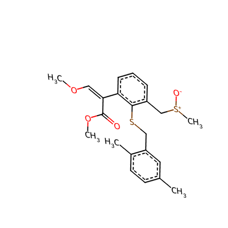 COC=C(C(=O)OC)c1cccc(C[S+](C)[O-])c1SCc1cc(C)ccc1C